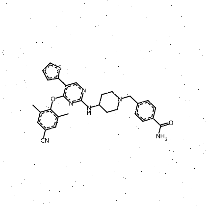 Cc1cc(C#N)cc(C)c1Oc1nc(NC2CCN(Cc3ccc(C(N)=O)cc3)CC2)ncc1-c1cccs1